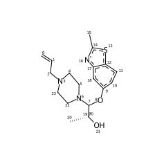 C=CCN1CCN(C(Oc2ccc3sc(C)nc3c2)[C@@H](C)O)CC1